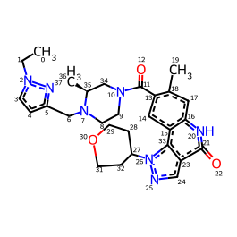 CCn1ccc(CN2CCN(C(=O)c3cc4c(cc3C)[nH]c(=O)c3cnn(C5CCOCC5)c34)C[C@@H]2C)n1